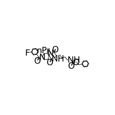 CCCN1C(=O)[C@H](CCCCNC(=O)OCc2ccccc2)NC(=O)C12CCN(C(=O)c1cccc(F)c1)CC2